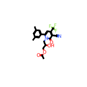 CC(=O)OCC(O)Cn1c(-c2cc(C)cc(C)c2)cc(C(F)(F)F)c(C#N)c1=O